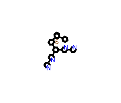 c1ccc(-c2cccc3c2sc2c(-c4cc(-c5ccc(-c6cccnc6)nc5)cc(-c5ccc(-c6cccnc6)nc5)c4)cccc23)cc1